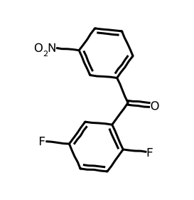 O=C(c1cccc([N+](=O)[O-])c1)c1cc(F)ccc1F